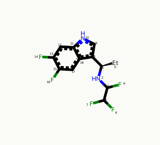 CC[C@@H](NC(F)C(F)F)c1c[nH]c2cc(F)c(F)cc12